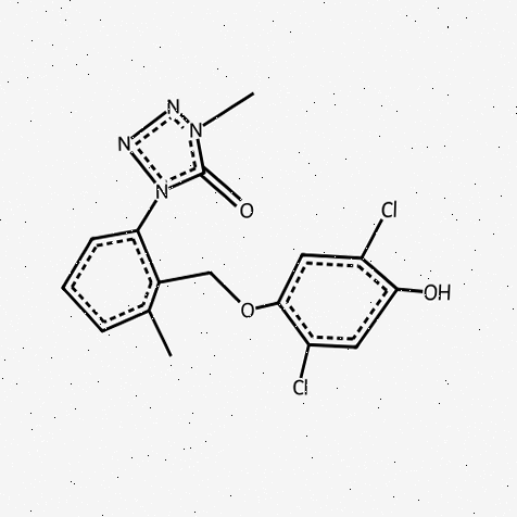 Cc1cccc(-n2nnn(C)c2=O)c1COc1cc(Cl)c(O)cc1Cl